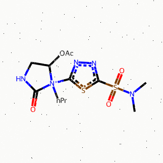 CCC[N+]1(c2nnc(S(=O)(=O)N(C)C)s2)C(=O)NCC1OC(C)=O